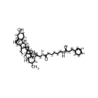 C[C@H]1C[C@H]2O[C@]3(CCC4C5CC=C6C[C@@H](O)CC[C@]6(C)[C@H]5CC45CC53C)[C@@H]3N[C@]32N(CCNC(=O)CCCCCNC(=O)CCc2ccccc2)C1